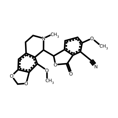 COc1ccc2c(c1C#N)C(=O)OC2C1c2c(cc3c(c2OC)OCO3)CCN1C